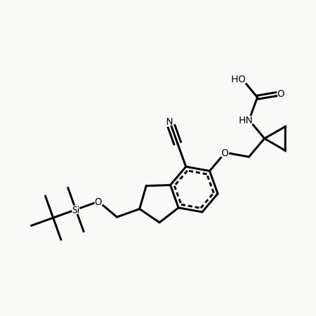 CC(C)(C)[Si](C)(C)OCC1Cc2ccc(OCC3(NC(=O)O)CC3)c(C#N)c2C1